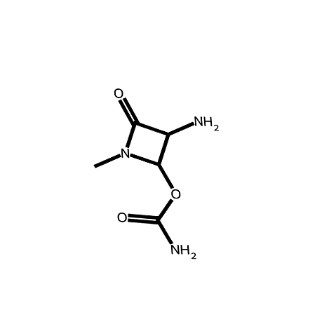 CN1C(=O)C(N)C1OC(N)=O